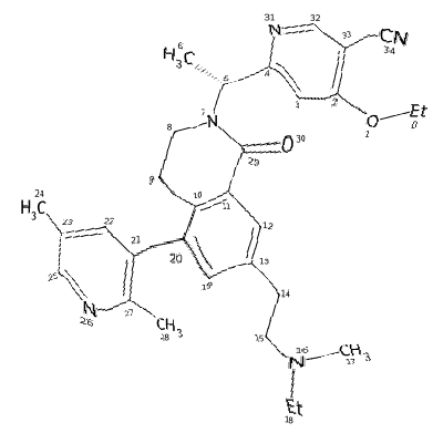 CCOc1cc([C@@H](C)N2CCc3c(cc(CCN(C)CC)cc3-c3cc(C)cnc3C)C2=O)ncc1C#N